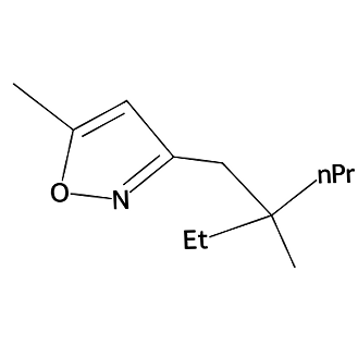 CCCC(C)(CC)Cc1cc(C)on1